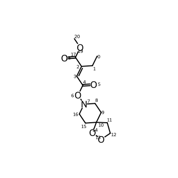 CC/C(=C\C(=O)ON1CCC2(CCOO2)CC1)C(=O)OC